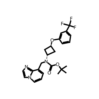 CC(C)(C)OC(=O)N(Cc1cccn2ccnc12)[C@H]1C[C@H](Oc2cccc(C(F)(F)F)c2)C1